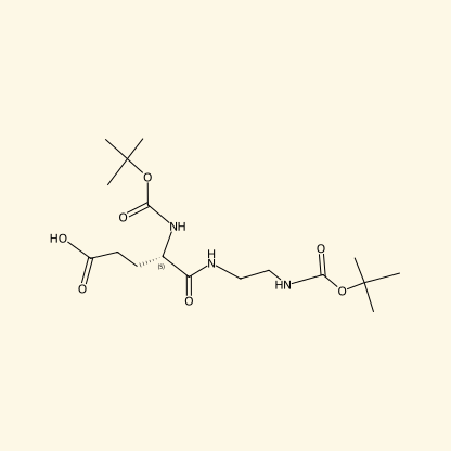 CC(C)(C)OC(=O)NCCNC(=O)[C@H](CCC(=O)O)NC(=O)OC(C)(C)C